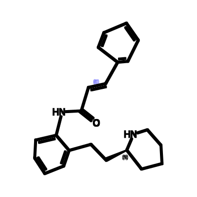 O=C(/C=C/c1ccccc1)Nc1ccccc1CC[C@@H]1CCCCN1